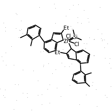 CCC1=Cc2c(-c3cccc(C)c3C)cccc2[CH]1[Zr]([Cl])([Cl])([CH]1C(CC)=Cc2c(-c3cccc(C)c3C)cccc21)=[Si](C)C